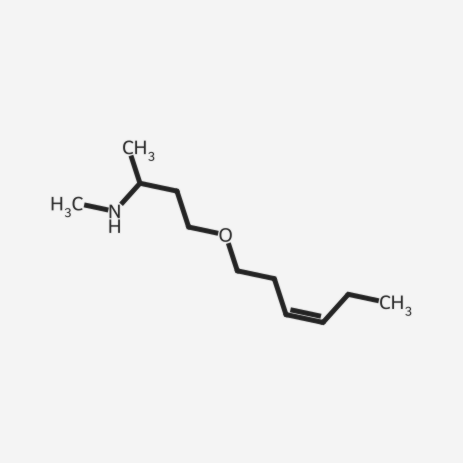 CC/C=C\CCOCCC(C)NC